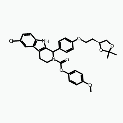 COc1ccc(OC(=O)N2CCc3c([nH]c4ccc(Cl)cc34)C2c2ccc(OCC[C@H]3COC(C)(C)O3)cc2)cc1